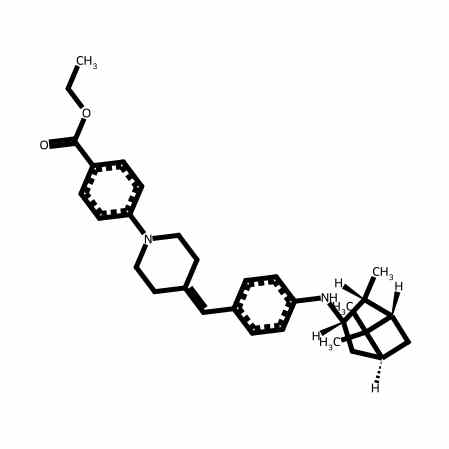 CCOC(=O)c1ccc(N2CCC(=Cc3ccc(N[C@H]4C[C@@H]5C[C@@H]([C@H]4C)C5(C)C)cc3)CC2)cc1